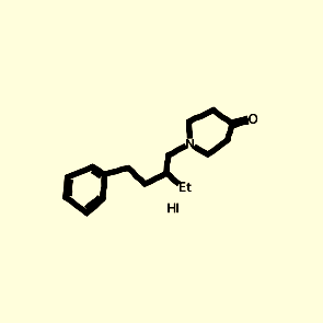 CCC(CCc1ccccc1)CN1CCC(=O)CC1.I